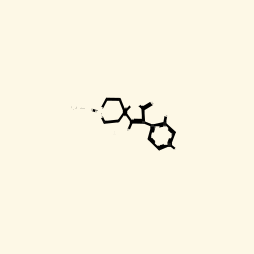 CON1CCC2(CC1)OC(=O)C(c1ccc(Cl)cc1Cl)=C2OC(C)=O